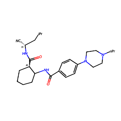 CCCN1CCN(c2ccc(C(=O)NC3CCCC[C@H]3C(=O)N[C@H](C#N)CC(C)C)cc2)CC1